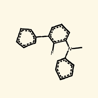 CN(c1ccccc1)c1cccc(-c2ccccc2)c1F